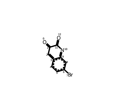 O=C1C=c2ccc(Br)cc2=NC1=O